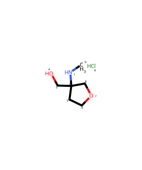 CNC1(CO)CCOC1.Cl